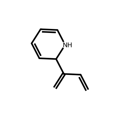 C=CC(=C)C1C=CC=CN1